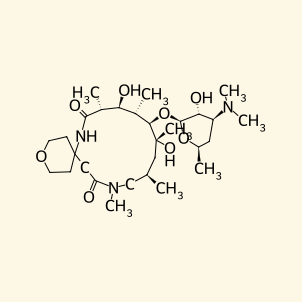 C[C@H]1CN(C)C(=O)CC2(CCOCC2)NC(=O)[C@H](C)[C@@H](O)[C@H](C)[C@@H](O[C@@H]2O[C@H](C)C[C@H](N(C)C)[C@H]2O)[C@](C)(O)C1